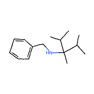 CC(C)C(C)(NCc1ccccc1)C(C)C